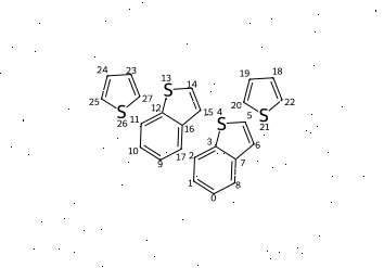 c1ccc2sccc2c1.c1ccc2sccc2c1.c1ccsc1.c1ccsc1